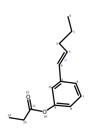 CCC/C=C/c1cccc(OC(=O)CC)c1